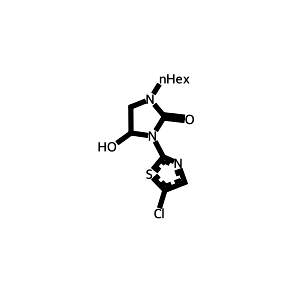 CCCCCCN1CC(O)N(c2ncc(Cl)s2)C1=O